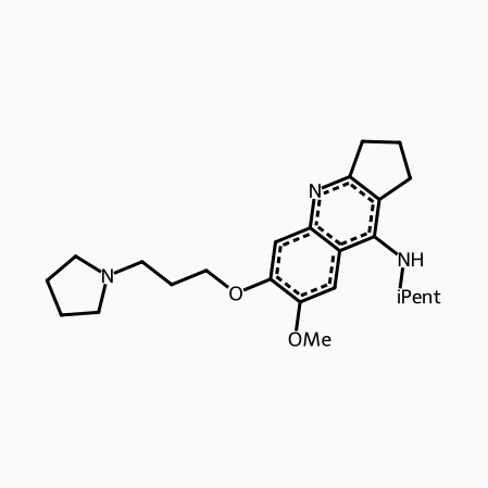 CCCC(C)Nc1c2c(nc3cc(OCCCN4CCCC4)c(OC)cc13)CCC2